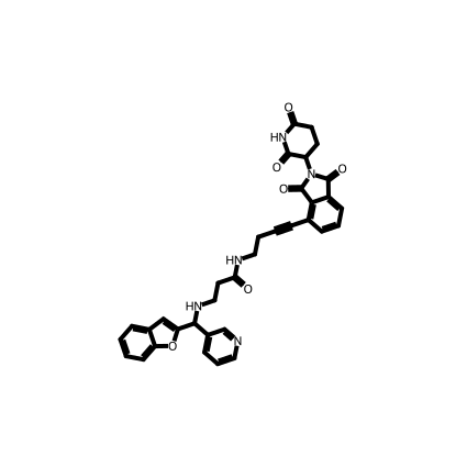 O=C(CCNC(c1cccnc1)c1cc2ccccc2o1)NCCC#Cc1cccc2c1C(=O)N(C1CCC(=O)NC1=O)C2=O